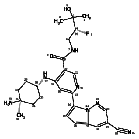 CC(C)(O)[C@H](F)CNC(=O)c1cnc(-c2ccc3cc(C#N)cnn23)cc1N[C@H]1CC[C@](C)(N)CC1